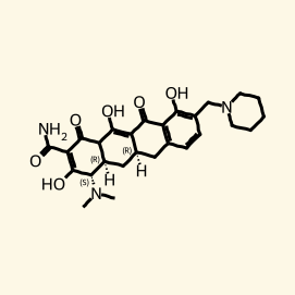 CN(C)[C@@H]1C(O)=C(C(N)=O)C(=O)C2C(O)=C3C(=O)c4c(ccc(CN5CCCCC5)c4O)C[C@H]3C[C@H]21